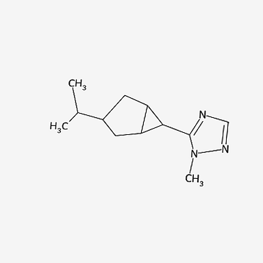 CC(C)C1CC2C(C1)C2c1ncnn1C